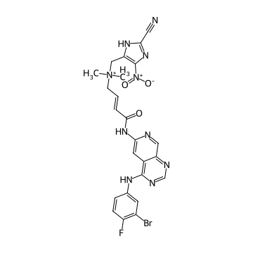 C[N+](C)(C/C=C/C(=O)Nc1cc2c(Nc3ccc(F)c(Br)c3)ncnc2cn1)Cc1[nH]c(C#N)nc1[N+](=O)[O-]